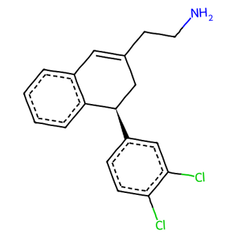 NCCC1=Cc2ccccc2[C@H](c2ccc(Cl)c(Cl)c2)C1